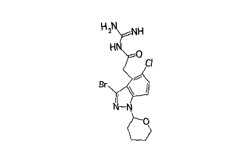 N=C(N)NC(=O)Cc1c(Cl)ccc2c1c(Br)nn2C1CCCCO1